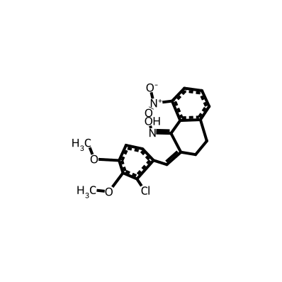 COc1ccc(C=C2CCc3cccc([N+](=O)[O-])c3C2=NO)c(Cl)c1OC